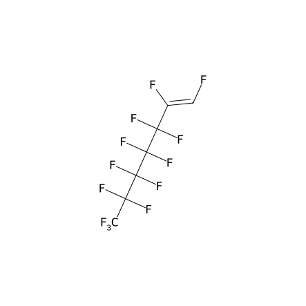 FC=C(F)C(F)(F)C(F)(F)C(F)(F)C(F)(F)C(F)(F)F